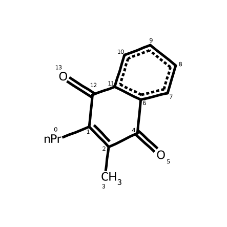 CCCC1=C(C)C(=O)c2ccccc2C1=O